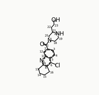 O=C(c1ccc2c(Cl)c3c(nc2c1)CCCC3)N1CCNC(CCO)C1